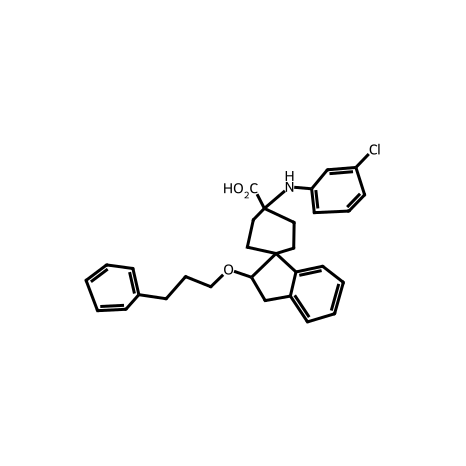 O=C(O)C1(Nc2cccc(Cl)c2)CCC2(CC1)c1ccccc1CC2OCCCc1ccccc1